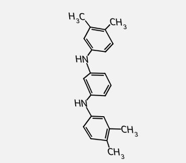 Cc1ccc(Nc2cccc(Nc3ccc(C)c(C)c3)c2)cc1C